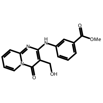 COC(=O)c1cccc(Nc2nc3ccccn3c(=O)c2CO)c1